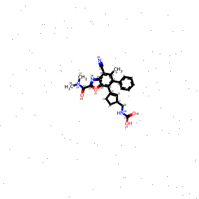 Cc1c(-c2ccccc2)c(C2=CC(CNC(=O)O)CC2)c2oc(C(=O)N(C)C)nc2c1C#N